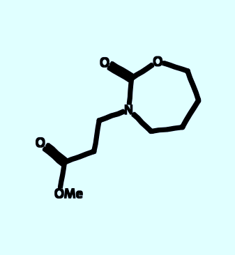 COC(=O)CCN1CCCCOC1=O